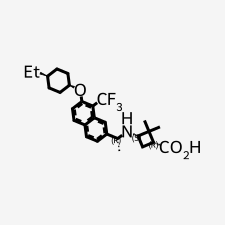 CC[C@H]1CC[C@@H](Oc2ccc3ccc([C@@H](C)N[C@H]4C[C@@H](C(=O)O)C4(C)C)cc3c2C(F)(F)F)CC1